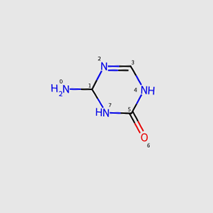 NC1N=CNC(=O)N1